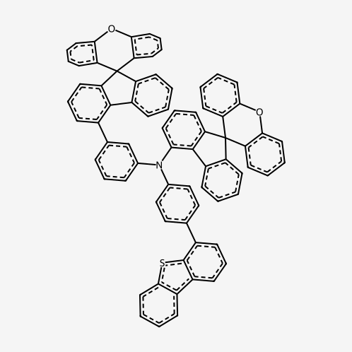 c1cc(-c2cccc3c2-c2ccccc2C32c3ccccc3Oc3ccccc32)cc(N(c2ccc(-c3cccc4c3sc3ccccc34)cc2)c2cccc3c2-c2ccccc2C32c3ccccc3Oc3ccccc32)c1